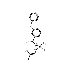 CC1(C)[C@H](C(C#N)c2cccc(Oc3ccccc3)c2)[C@@H]1C=C(Cl)Cl